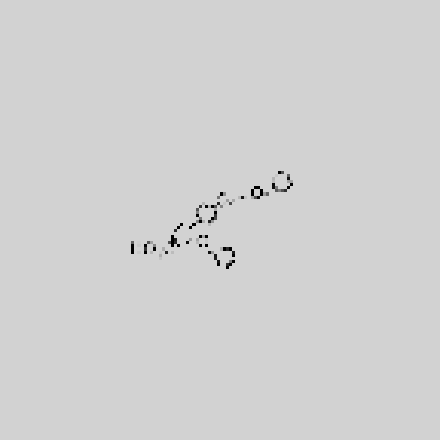 O=C(O)N1CCC(c2ccc(OCCCOCc3ccccc3)cc2)C(OCc2ccccc2)C1